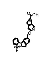 O=C(O)C1C2Cc3cc(OCc4ccc5c(c4)N(c4ccccc4C(F)(F)F)CC5)ncc3C21